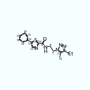 CCc1nnn(CCNC(=O)c2ncc(-c3ccccc3)s2)c1C